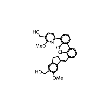 COc1cc2c(cc1CO)CCC2=Cc1cccc(-c2cccc(-c3ccc(CO)c(OC)n3)c2Cl)c1Cl